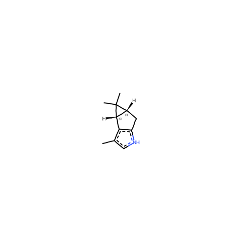 Cc1c[nH]c2c1[C@H]1[C@@H](C2)C1(C)C